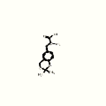 CC1(C)OCc2cc(C[C@H](N)C(=O)O)ccc2O1